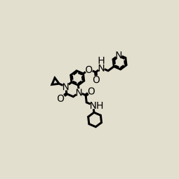 O=C(NCc1cccnc1)Oc1ccc2c(c1)N(C(=O)CNC1CCCCC1)CC(=O)N2C1CC1